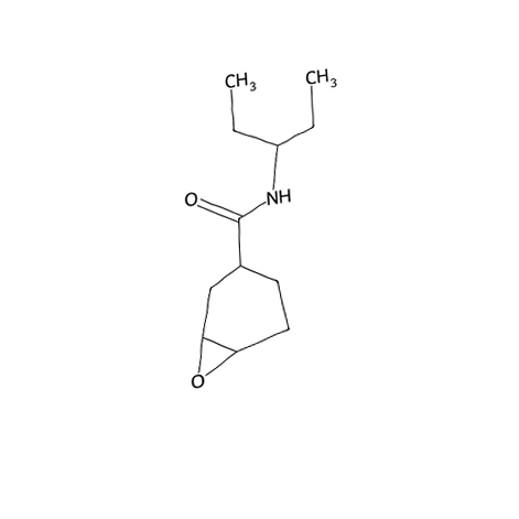 CCC(CC)NC(=O)C1CCC2OC2C1